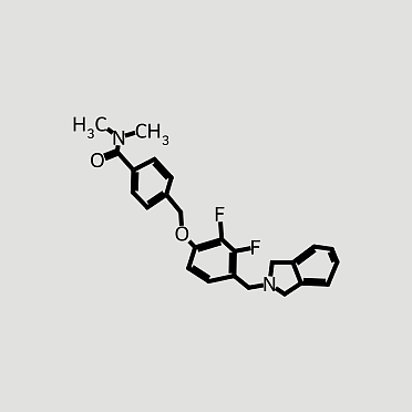 CN(C)C(=O)c1ccc(COc2ccc(CN3Cc4ccccc4C3)c(F)c2F)cc1